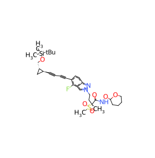 CC(C)(C)[Si](C)(C)OC[C@H]1C[C@@H]1C#CC#Cc1ccc2nn(CC[C@](C)(C(=O)NOC3CCCCO3)S(C)(=O)=O)cc2c1F